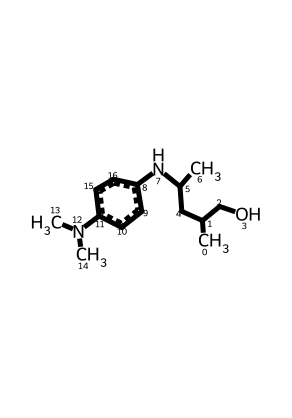 CC(CO)CC(C)Nc1ccc(N(C)C)cc1